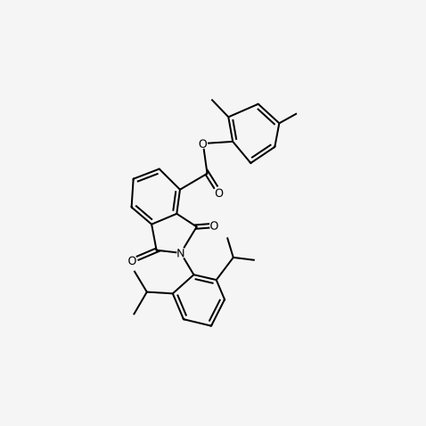 Cc1ccc(OC(=O)c2cccc3c2C(=O)N(c2c(C(C)C)cccc2C(C)C)C3=O)c(C)c1